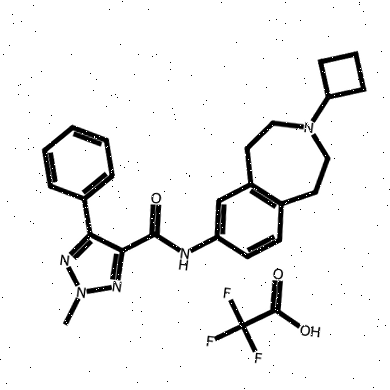 Cn1nc(C(=O)Nc2ccc3c(c2)CCN(C2CCC2)CC3)c(-c2ccccc2)n1.O=C(O)C(F)(F)F